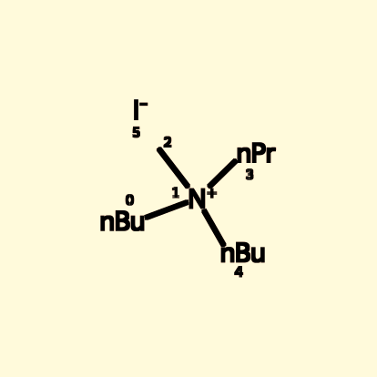 CCCC[N+](C)(CCC)CCCC.[I-]